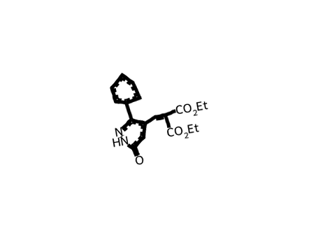 CCOC(=O)C(=Cc1cc(=O)[nH]nc1-c1ccccc1)C(=O)OCC